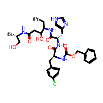 CCC(C)[C@@H](CO)NC(=O)CC(O)C(CC(C)C)NC(=O)[C@H](Cc1c[nH]cn1)NC(=O)[C@H](Cc1ccc(Cl)cc1)NC(=O)OCc1ccccc1